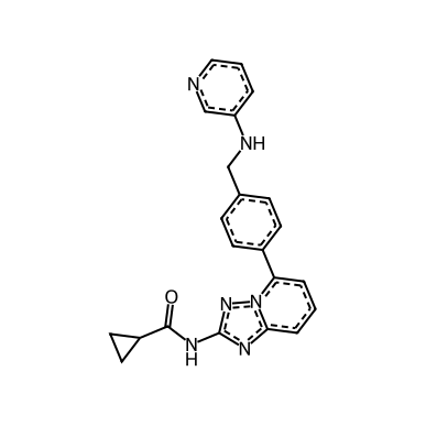 O=C(Nc1nc2cccc(-c3ccc(CNc4cccnc4)cc3)n2n1)C1CC1